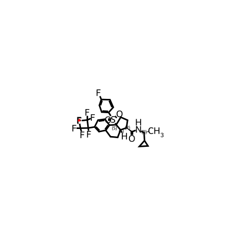 C[C@@H](NC(=O)[C@@H]1CC[C@@]2(S(=O)(=O)c3ccc(F)cc3)c3ccc(C(F)(C(F)(F)F)C(F)(F)F)cc3CC[C@@H]12)C1CC1